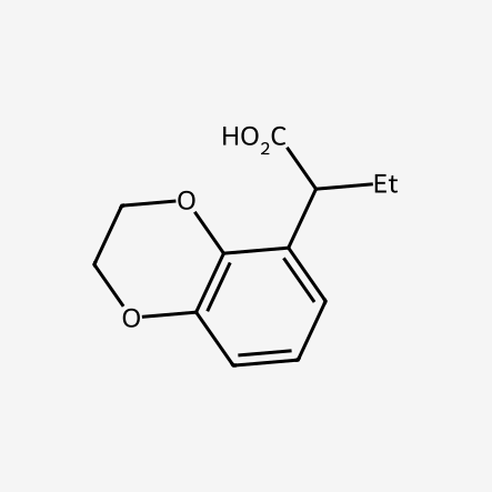 CCC(C(=O)O)c1cccc2c1OCCO2